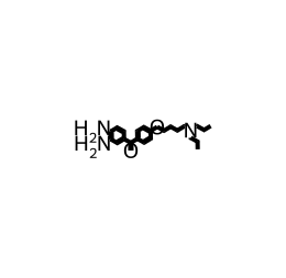 CCCN(CCC)CCCCOc1ccc(C(=O)c2ccc(N)c(N)c2)cc1